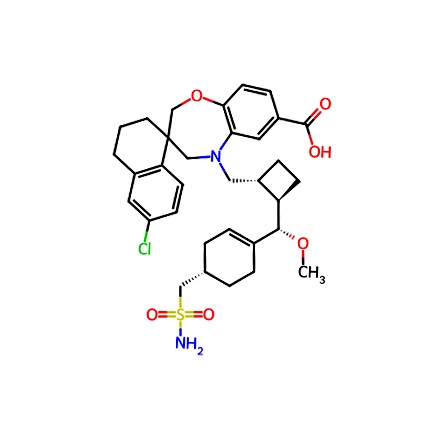 CO[C@H](C1=CC[C@@H](CS(N)(=O)=O)CC1)[C@@H]1CC[C@H]1CN1CC2(CCCc3cc(Cl)ccc32)COc2ccc(C(=O)O)cc21